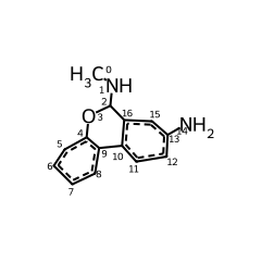 CNC1Oc2ccccc2-c2ccc(N)cc21